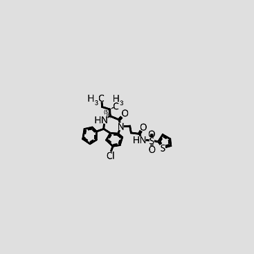 CC[C@H](C)[C@H]1NC(c2ccccc2)c2cc(Cl)ccc2N(CCC(=O)NS(=O)(=O)c2cccs2)C1=O